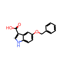 O=C(O)c1[c][nH]c2ccc(OCc3ccccc3)cc12